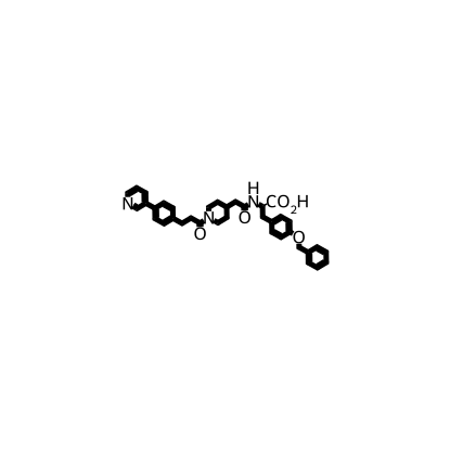 O=C(CC1CCN(C(=O)CCc2ccc(-c3cccnc3)cc2)CC1)N[C@@H](Cc1ccc(OCc2ccccc2)cc1)C(=O)O